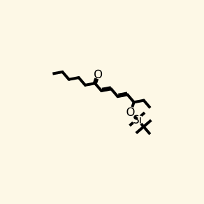 CCCCCC(=O)C=CC=CC(CC)O[Si](C)(C)C(C)(C)C